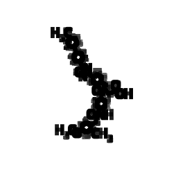 COc1ccc(CC(=O)Nc2ccc(C(=O)N(CC(=O)O)Cc3ccc(-c4noc(-c5ccc(-c6ccc(C)cc6)cc5)n4)cc3)cc2)c(C)c1